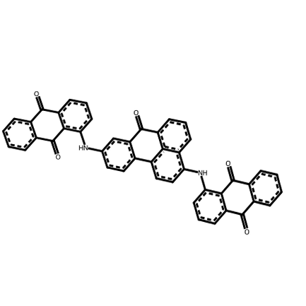 O=C1c2ccccc2C(=O)c2c(Nc3ccc4c(c3)C(=O)c3cccc5c(Nc6cccc7c6C(=O)c6ccccc6C7=O)ccc-4c35)cccc21